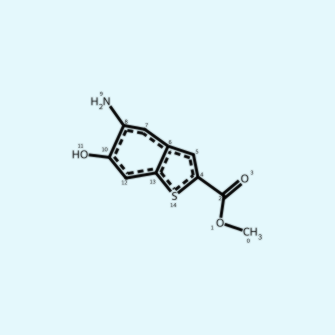 COC(=O)c1cc2cc(N)c(O)cc2s1